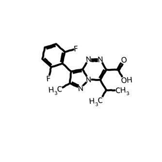 Cc1nn2c(C(C)C)c(C(=O)O)nnc2c1-c1c(F)cccc1F